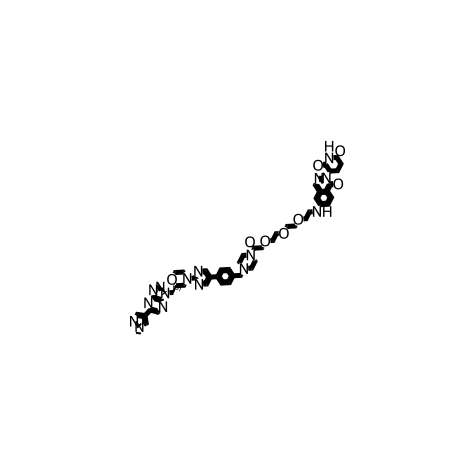 Cn1cc(-c2cnc3c(nnn3C[C@@H]3CN(c4ncc(-c5ccc(CN6CCN(C(=O)COCCOCCOCCNc7ccc8c(=O)n(C9CCC(=O)NC9=O)ncc8c7)CC6)cc5)cn4)CCO3)n2)cn1